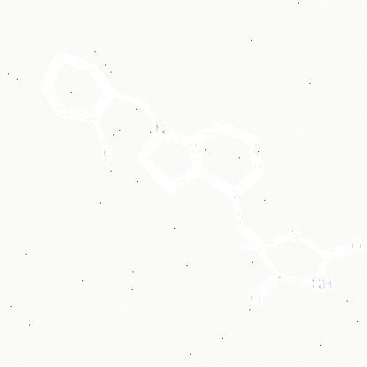 O=C1NC(=O)/C(=C/c2cccc3c2ccn3Cc2ccccc2F)S1